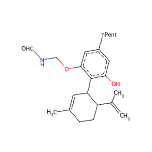 C=C(C)C1CCC(C)=CC1c1c(O)cc(CCCCC)cc1OCNC=O